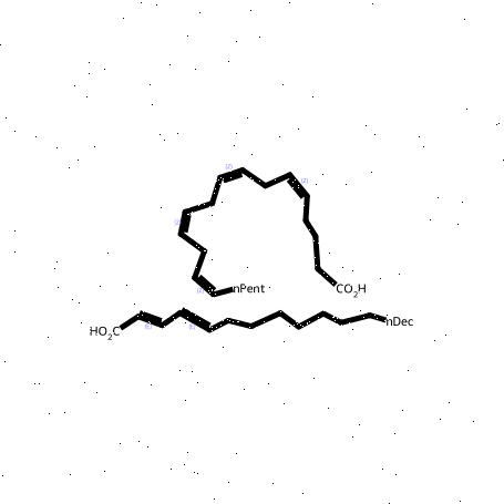 CCCCC/C=C\C/C=C\C/C=C\C/C=C\CCCC(=O)O.CCCCCCCCCCCCCCCCC/C=C/C=C/C(=O)O